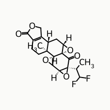 CC(C(F)F)[C@]12O[C@H]1[C@@H]1O[C@@]13[C@@]1(C)CCC4=C(COC4=O)[C@@H]1C[C@@H]1O[C@@]13C2=O